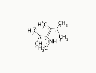 CN/C(=C(/C)C(C)C)C(C)C